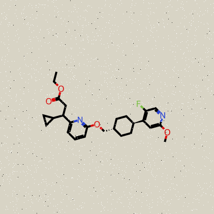 CCOC(=O)CC(c1cccc(OC[C@H]2CC[C@H](c3cc(OC)ncc3F)CC2)n1)C1CC1